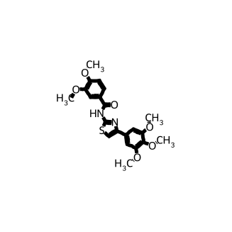 COc1ccc(C(=O)Nc2nc(-c3cc(OC)c(OC)c(OC)c3)cs2)cc1OC